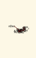 CCCCCCCCCCCCCCCCCC(=O)OC[C@@H](OC(C)=O)[C@H]1O[C@@H](OP(=O)(O)OP(O)(=S)OC[C@H]2O[C@@H](c3noc4c(N)ncnc34)[C@H](O)[C@@H]2O)[C@@H](OC(C)=O)[C@@H](OC(C)=O)[C@@H]1OC(C)=O